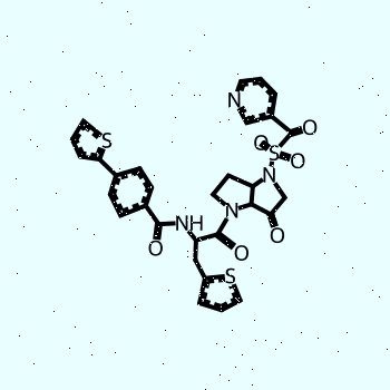 O=C(NC(Cc1cccs1)C(=O)N1CCC2C1C(=O)CN2S(=O)(=O)C(=O)c1cccnc1)c1ccc(-c2cccs2)cc1